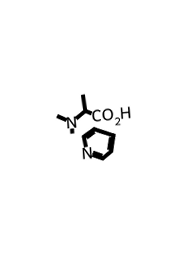 CC(C(=O)O)N(C)C.c1ccncc1